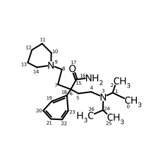 CC(C)N(CCC(CCN1CCCCC1)(C(N)=O)c1ccccc1)C(C)C